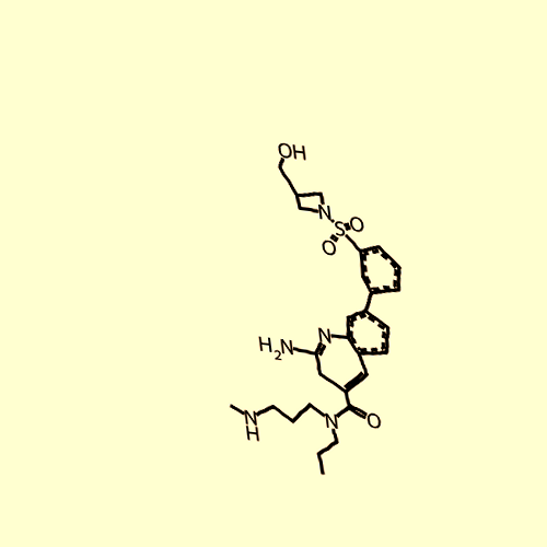 CCCN(CCCNC)C(=O)C1=Cc2ccc(-c3cccc(S(=O)(=O)N4CC(CO)C4)c3)cc2N=C(N)C1